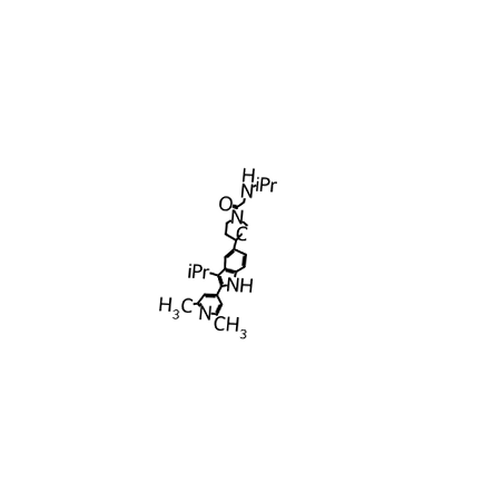 Cc1cc(-c2[nH]c3ccc(C4CCN(C(=O)CNC(C)C)CC4)cc3c2C(C)C)cc(C)n1